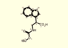 CC(C)(C)OC(=O)NC[C@H](C(=O)O)c1csc2ccccc12